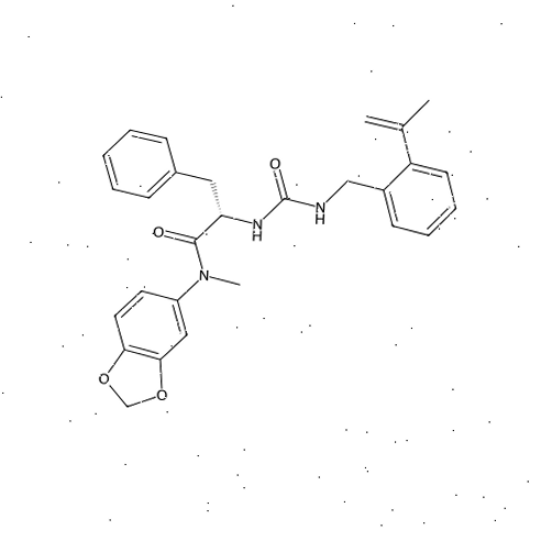 C=C(C)c1ccccc1CNC(=O)N[C@@H](Cc1ccccc1)C(=O)N(C)c1ccc2c(c1)OCO2